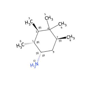 C[C@@H]1[C@@H](C)C(C)(C)[C@@H](C)C[C@@H]1N